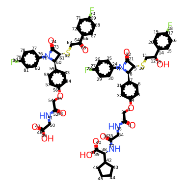 O=C(COc1ccc([C@@H]2[C@@H](SCC(O)c3ccc(F)cc3)C(=O)N2c2ccc(F)cc2)cc1)NCC(=O)N[C@@H](C(=O)O)C1CCCC1.O=C(O)CNC(=O)COc1ccc([C@@H]2[C@@H](SCC(=O)c3ccc(F)cc3)C(=O)N2c2ccc(F)cc2)cc1